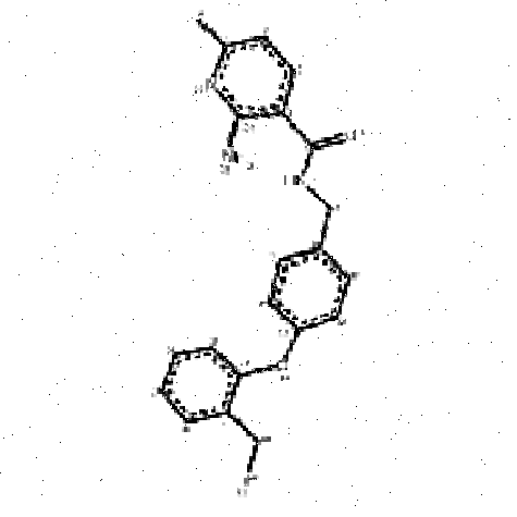 Cc1ccc(C(=O)NCc2ccc(Oc3ccccc3CC(C)C)cc2)c(N)n1